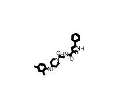 Cc1ccc(NC2CCN(C(=O)CNC(=O)c3cc(-c4ccccc4)[nH]n3)CC2)c(C)c1